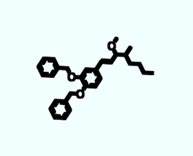 CCCCC(C)C(/C=C/c1ccc(OCc2ccccc2)c(OCc2ccccc2)c1)OC